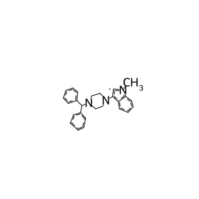 Cn1[c]c(N2CCN(C(c3ccccc3)c3ccccc3)CC2)c2ccccc21